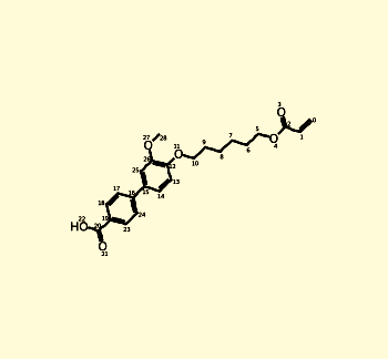 C=CC(=O)OCCCCCCOc1ccc(-c2ccc(C(=O)O)cc2)cc1OC